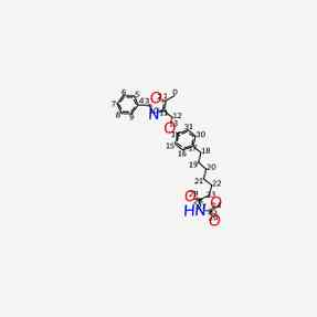 Cc1oc(-c2ccccc2)nc1COc1ccc(CCCCCC2OC(=O)NC2=O)cc1